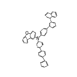 c1ccc(-c2ccc(-c3ccc(N(c4ccc(-c5cccc(-c6cccc7ccccc67)c5)cc4)c4ccc5oc6ccccc6c5c4)cc3)cc2)cc1